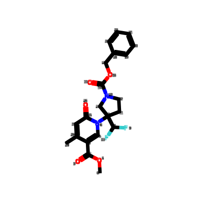 COC(=O)c1cn(C2(C(F)F)CCN(C(=O)OCc3ccccc3)C2)c(=O)cc1C